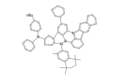 CCCCc1ccc(N(c2ccccc2)c2ccc3c(c2)-c2cc(-c4ccccc4)cc4c2B(c2cccc5c6cc7ccccc7cc6n-4c25)N3c2cc3c(cc2C)C(C)(C)CCC3(C)C)cc1